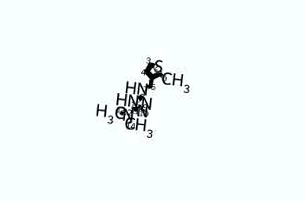 Cc1sccc1CNc1nnc(N(C)C)[nH]1